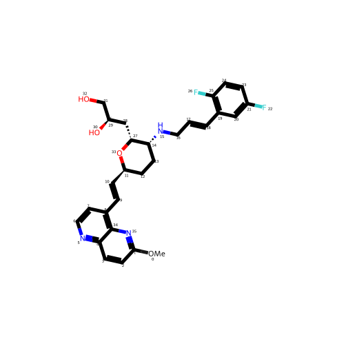 COc1ccc2nccc(/C=C/[C@@H]3CC[C@@H](NC/C=C/c4cc(F)ccc4F)[C@@H](C[C@@H](O)CO)O3)c2n1